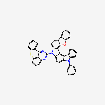 c1ccc(-n2c3ccccc3c3c4c5c6oc7ccccc7c6ccc5n(-c5nc6c7c(cccc7n5)Sc5ccccc5-6)c4ccc32)cc1